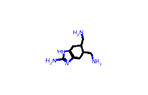 NCC1Cc2nc(N)[nH]c2CC1CN